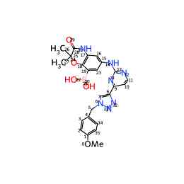 COc1ccc(Cn2cc(-c3ccnc(Nc4cc5c(c(B(O)O)c4)OC(C)(C)C(=O)N5)n3)nn2)cc1